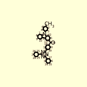 Cc1ccc(-n2c3ccccc3c3cc(C(=O)c4ccc(-c5nc(-c6ccccc6)nc(-c6ccccc6)n5)cc4)ccc32)cc1